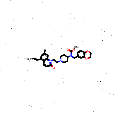 CCOC(=O)/C=C/c1cc(C)cc2c1ccc(=O)n2CCN1CCC(N(Cc2ccc3c(c2)OCCO3)C(=O)OC(C)(C)C)CC1